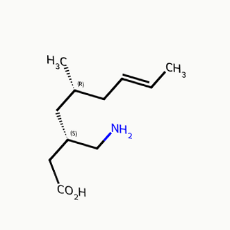 CC=CC[C@@H](C)C[C@H](CN)CC(=O)O